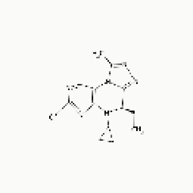 CC[C@@H]1c2nnc(C)n2-c2cnc(Cl)nc2N1C1CC1